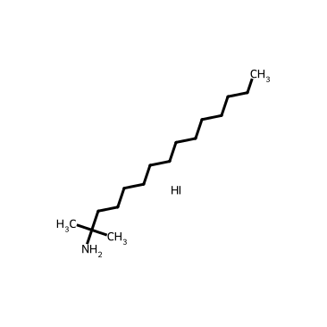 CCCCCCCCCCCCCC(C)(C)N.I